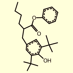 CCCCC(Cc1cc(C(C)(C)C)c(O)c(C(C)(C)C)c1)C(=O)Oc1ccccc1